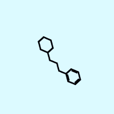 c1ccc(CCCC2CCCCC2)cc1